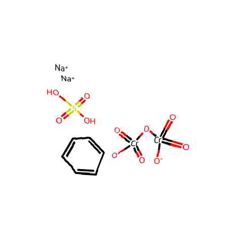 O=S(=O)(O)O.[Na+].[Na+].[O]=[Cr](=[O])([O-])[O][Cr](=[O])(=[O])[O-].c1ccccc1